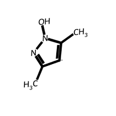 Cc1[c]c(C)n(O)n1